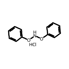 Cl.c1ccc(ONOc2ccccc2)cc1